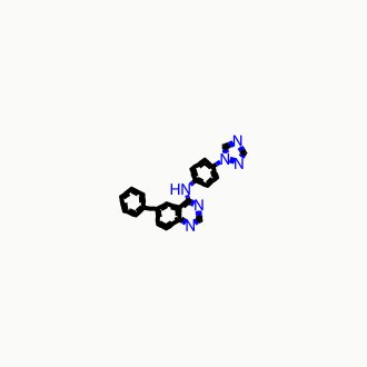 c1ccc(-c2ccc3ncnc(Nc4ccc(-n5cncn5)cc4)c3c2)cc1